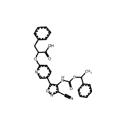 CC(OC(=O)Nc1c(C#N)noc1-c1ccc(OC(Cc2ccccc2)C(=O)O)nc1)c1ccccc1